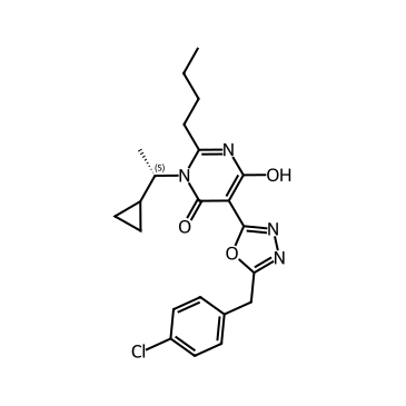 CCCCc1nc(O)c(-c2nnc(Cc3ccc(Cl)cc3)o2)c(=O)n1[C@@H](C)C1CC1